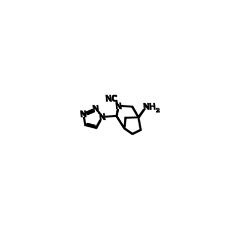 N#CN1CC2(N)CCC(C2)C1n1ccnn1